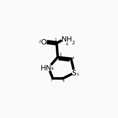 NC(=O)C1=CSCCN1